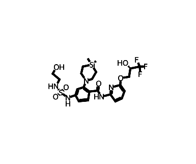 C[Si]1(C)CCN(c2cc(NS(=O)(=O)NCCO)ccc2C(=O)Nc2cccc(OC[C@@H](O)C(F)(F)F)n2)CC1